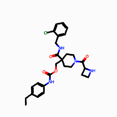 CCc1ccc(NC(=O)OCC2(C(=O)NCc3ccccc3Cl)CCN(C(=O)C3CCN3)CC2)cc1